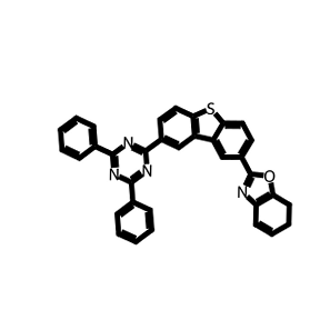 C1=Cc2nc(-c3ccc4sc5ccc(-c6nc(-c7ccccc7)nc(-c7ccccc7)n6)cc5c4c3)oc2CC1